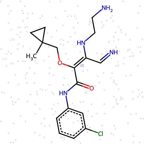 CC1(CO/C(C(=O)Nc2cccc(Cl)c2)=C(/C=N)NCCN)CC1